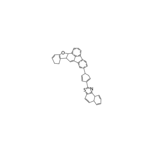 C1=CC2C=Cc3sc(C4=CCC(c5ccc6c(c5)C5=CC7C8=C(C=CCC8)OC7c7cccc-6c75)C=C4)nc3C2C=C1